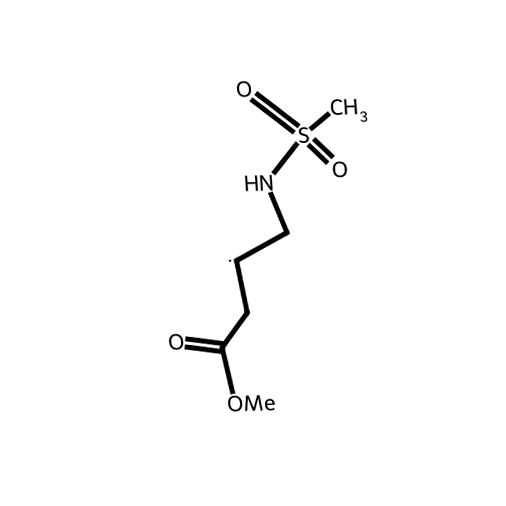 COC(=O)C[CH]CNS(C)(=O)=O